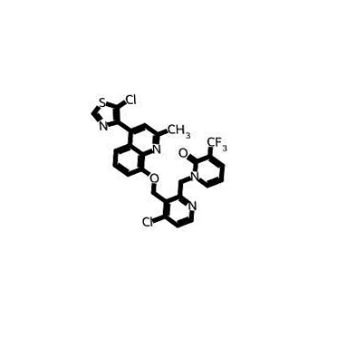 Cc1cc(-c2ncsc2Cl)c2cccc(OCc3c(Cl)ccnc3Cn3cccc(C(F)(F)F)c3=O)c2n1